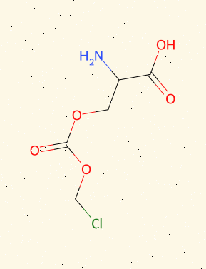 NC(COC(=O)OCCl)C(=O)O